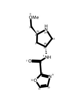 COC[C@@H]1C[C@@H](NC(=O)c2ncco2)CN1